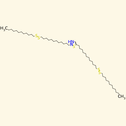 CCCCCCCCCCCCSSCCCCCCCCCCCCC1=CNN(CCCCCCCCCCCCSSCCCCCCCCCCCC)S1